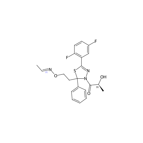 C/C=N/OCCC1(c2ccccc2)SC(c2cc(F)ccc2F)=NN1C(=O)[C@H](C)O